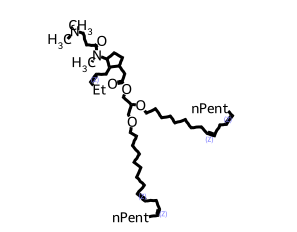 CC/C=C\CC1C(CC(=O)OCC(COCCCCCCCC/C=C\C/C=C\CCCCC)OCCCCCCCC/C=C\C/C=C\CCCCC)CCC1N(C)C(=O)CCN(C)C